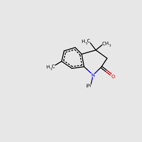 Cc1ccc2c(c1)N(C(C)C)C(=O)CC2(C)C